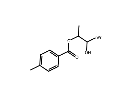 CCCC(O)C(C)OC(=O)c1ccc(C)cc1